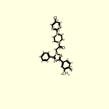 Cc1cc(-c2nc(-c3ccccc3)n(CC(=O)N3CCN(c4ncc(Cl)cn4)CC3)n2)ccc1F